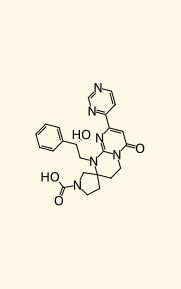 O=C(O)N1CCC2(CCn3c(nc(-c4ccncn4)cc3=O)N2C[C@@H](O)c2ccccc2)C1